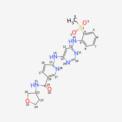 CS(=O)(=O)c1ccccc1Nc1cc(Nc2ccc(C(=O)NC3CCOC3)cn2)ncn1